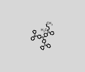 C=C(/C=C\C=C/C)N(c1ccccc1)c1ccc(N(c2ccc(N(c3ccccc3)c3ccccc3)cc2)c2ccc(N(c3ccccc3)c3ccccc3)cc2)cc1